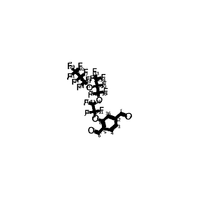 O=[C]c1ccc([C]=O)c(OC(F)(F)C(F)OC(F)(F)C(F)(OC(F)(F)C(F)(F)C(F)(F)F)C(F)(F)F)c1